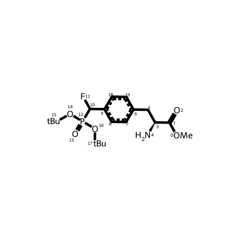 COC(=O)[C@@H](N)Cc1ccc(C(F)P(=O)(OC(C)(C)C)OC(C)(C)C)cc1